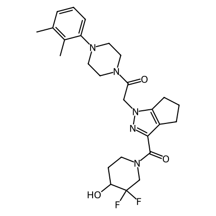 Cc1cccc(N2CCN(C(=O)Cn3nc(C(=O)N4CCC(O)C(F)(F)C4)c4c3CCC4)CC2)c1C